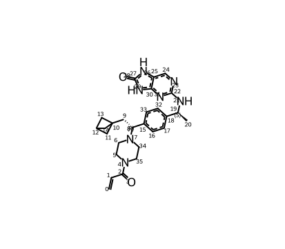 C=CC(=O)N1CCN([C@H](CC23CC(C2)C3)c2ccc([C@H](C)Nc3ncc4[nH]c(=O)[nH]c4n3)cc2)CC1